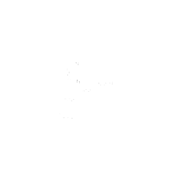 O=C(O)C=C(c1ccccc1)n1ccnc1